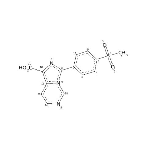 CS(=O)(=O)c1ccc(-c2nc(C(=O)O)c3ccncn23)cc1